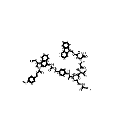 COc1ccc(/C=C/C(=O)N2CC(CCl)c3c2cc(NC(=O)OCc2ccc(NC(=O)[C@H](CCCNC(N)=O)NC(=O)[C@@H](NC(=O)CC[C@H](NC(=O)OCC4c5ccccc5-c5ccccc54)C(=O)O)C(C)C)cc2)c2ccccc32)cc1